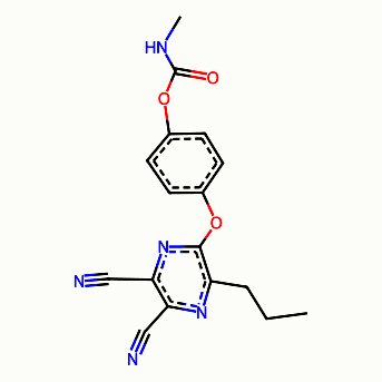 CCCc1nc(C#N)c(C#N)nc1Oc1ccc(OC(=O)NC)cc1